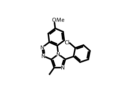 COc1ccc2c(c1)nnc1c(C)nc(-c3ccccc3Cl)n12